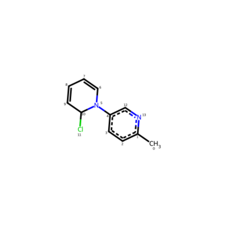 Cc1ccc(N2C=CC=CC2Cl)cn1